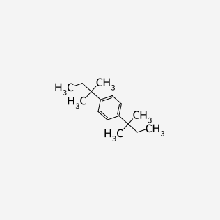 CCC(C)(C)c1ccc(C(C)(C)CC)cc1